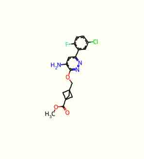 COC(=O)C12CC(COc3nnc(-c4cc(Cl)ccc4F)cc3N)(C1)C2